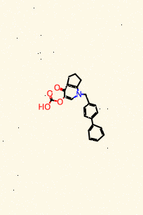 O=C(O)Oc1cn(Cc2ccc(-c3ccccc3)cc2)c2c(c1=O)CCC2